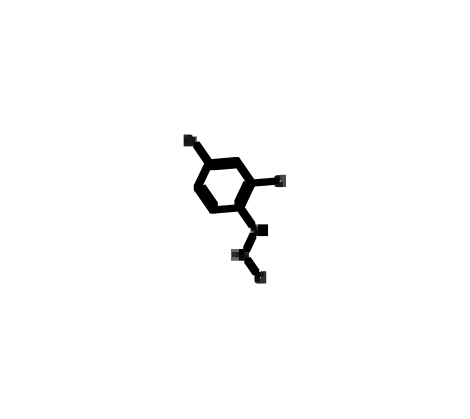 ClNNc1ccc(Br)cc1Cl